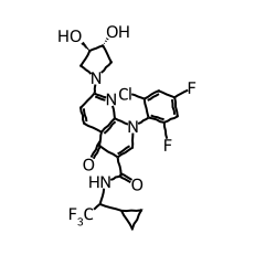 O=C(NC(C1CC1)C(F)(F)F)c1cn(-c2c(F)cc(F)cc2Cl)c2nc(N3C[C@@H](O)[C@H](O)C3)ccc2c1=O